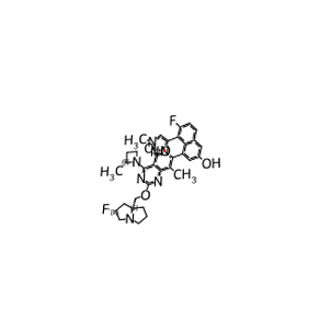 Cc1c(-c2cc(O)cc3ccc(F)c(-c4cn(C)nn4)c23)oc(=O)c2c(N3CC[C@H]3C)nc(OC[C@@]34CCCN3C[C@H](F)C4)nc12